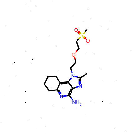 Cc1nc2c(N)nc3c(c2n1CCOCCS(C)(=O)=O)CCCC3